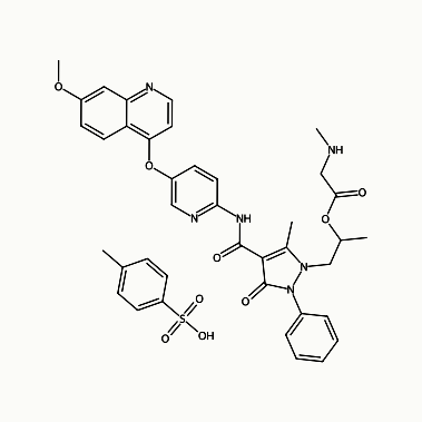 CNCC(=O)OC(C)Cn1c(C)c(C(=O)Nc2ccc(Oc3ccnc4cc(OC)ccc34)cn2)c(=O)n1-c1ccccc1.Cc1ccc(S(=O)(=O)O)cc1